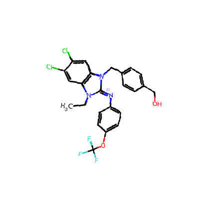 CCn1/c(=N\c2ccc(OC(F)(F)F)cc2)n(Cc2ccc(CO)cc2)c2cc(Cl)c(Cl)cc21